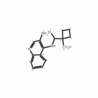 CCC(Nc1c(N)cnc2ccccc12)C1(C(=O)O)CCC1